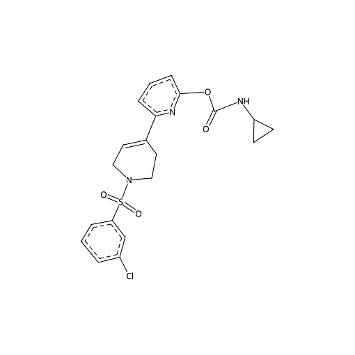 O=C(NC1CC1)Oc1cccc(C2=CCN(S(=O)(=O)c3cccc(Cl)c3)CC2)n1